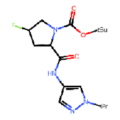 CC(C)n1cc(NC(=O)C2CC(F)CN2C(=O)OC(C)(C)C)cn1